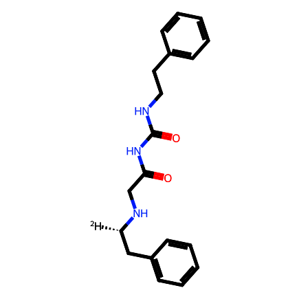 [2H][C@@H](Cc1ccccc1)NCC(=O)NC(=O)NCCc1ccccc1